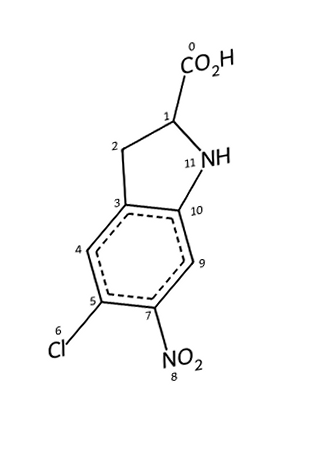 O=C(O)C1Cc2cc(Cl)c([N+](=O)[O-])cc2N1